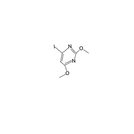 COc1cc(I)nc(OC)n1